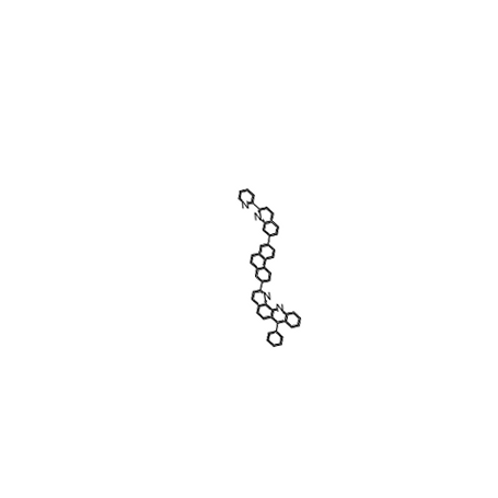 c1ccc(-c2c3ccccc3nc3c2ccc2ccc(-c4ccc5c(ccc6cc(-c7ccc8ccc(-c9ccccn9)nc8c7)ccc65)c4)nc23)cc1